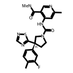 CNC(=O)c1cnc(C)cc1NC(=O)N1CC[C@](c2ccc(C)c(F)c2)(c2ncns2)C1